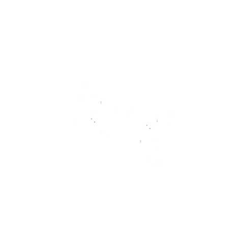 Cc1ccc(N(C2=CC=C3C=CC4C(N(c5ccc(C)cc5)c5ccc6ccccc6c5)=CC=C5C=CC2C3C54)c2ccc3ccccc3c2)cc1